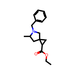 CCOC(=O)C1CC12CC(C)N(Cc1ccccc1)C2